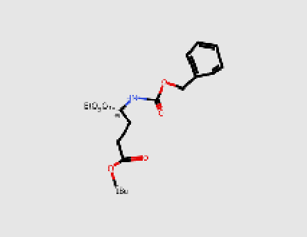 CCOC(=O)[C@@H](CCC(=O)OC(C)(C)C)NC(=O)OCc1ccccc1